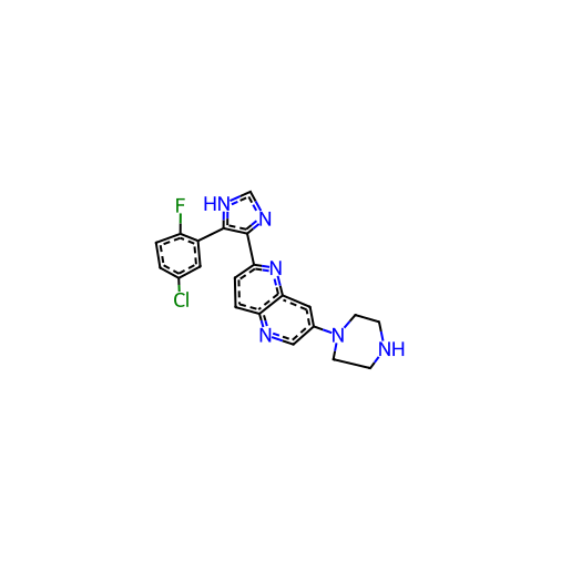 Fc1ccc(Cl)cc1-c1[nH]cnc1-c1ccc2ncc(N3CCNCC3)cc2n1